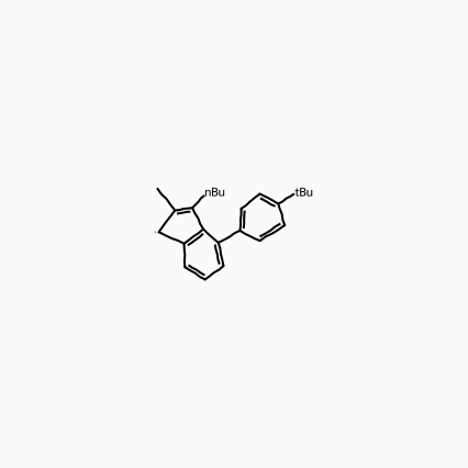 CCCCC1=C(C)[CH]c2cccc(-c3ccc(C(C)(C)C)cc3)c21